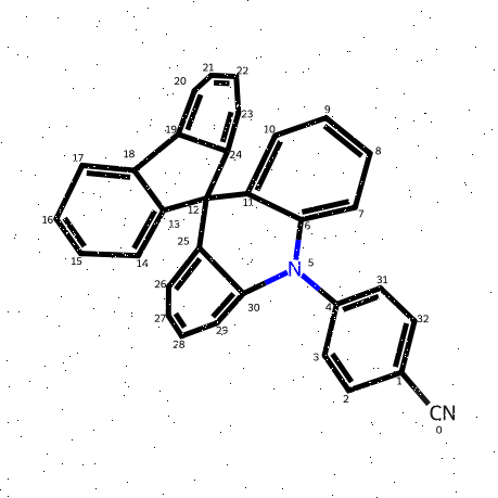 N#Cc1ccc(N2c3ccccc3C3(c4ccccc4-c4ccccc43)c3ccccc32)cc1